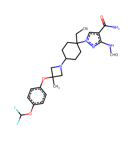 CC1(Oc2ccc(OC(F)F)cc2)CN(C2CCC(CC#N)(n3cc(C(N)=O)c(NC=O)n3)CC2)C1